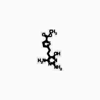 COC(=O)c1ccc(CCc2c(N)nc(N)nc2O)s1